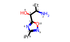 CCC(N)[C@H](O)c1nc(C(C)C)no1